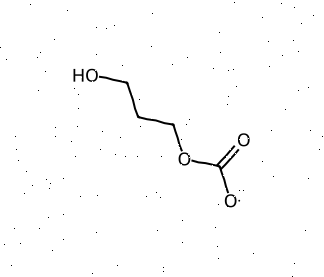 [O]C(=O)OCCCO